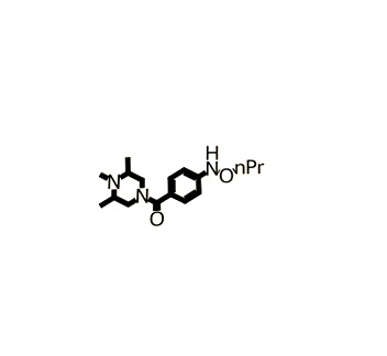 CCCONc1ccc(C(=O)N2CC(C)N(C)C(C)C2)cc1